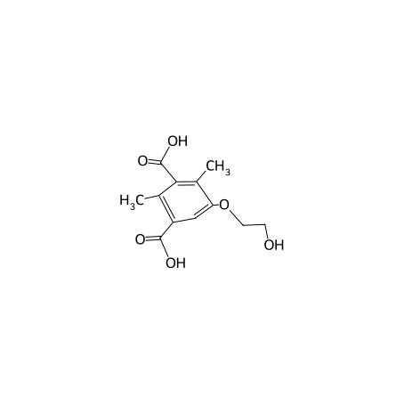 Cc1c(OCCO)cc(C(=O)O)c(C)c1C(=O)O